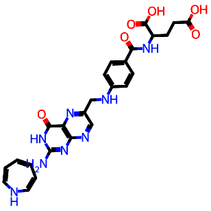 C1=CC=CNC=C1.Nc1nc2ncc(CNc3ccc(C(=O)NC(CCC(=O)O)C(=O)O)cc3)nc2c(=O)[nH]1